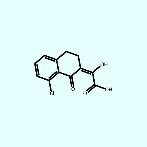 O=C(O)C(O)=C1CCc2cccc(Cl)c2C1=O